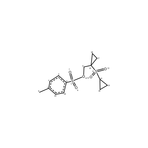 Cc1ccc(S(=O)(=O)OCC2(S(=O)(=O)C3CC3)CC2)cc1